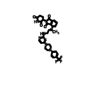 CN(CCNc1nccc(N2CCN(c3ccc(C(F)(F)F)cc3)CC2)n1)c1cccc2c1C(=O)N(C1CCC(=O)NC1=O)C2=O